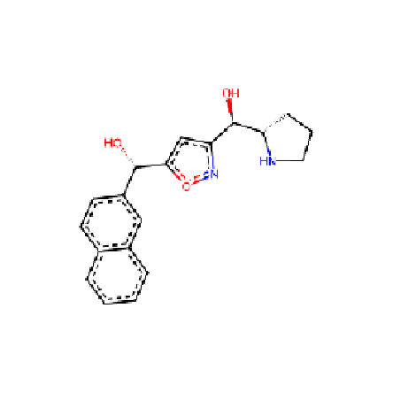 O[C@@H](c1ccc2ccccc2c1)c1cc([C@@H](O)[C@@H]2CCCN2)no1